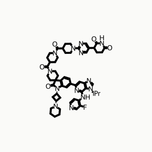 CC(C)n1cnc2cc(-c3ccc4c(c3)N([C@H]3C[C@@H](N5CCCCC5)C3)C(=O)C43CCN(C(=O)C4CCN(C(=O)C5CCN(c6ncc(C7CCC(=O)NC7=O)cn6)CC5)CC4)CC3)nc(Nc3ccncc3F)c21